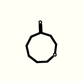 O=C1CCCCCOCC1